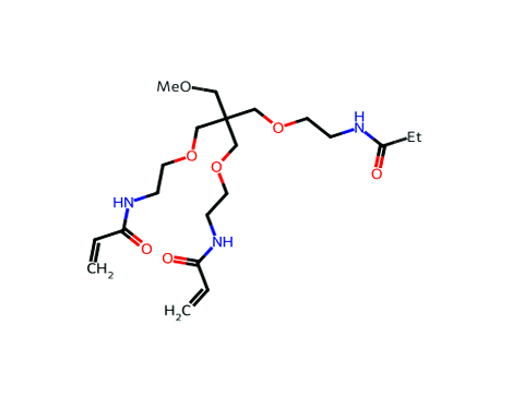 C=CC(=O)NCCOCC(COC)(COCCNC(=O)C=C)COCCNC(=O)CC